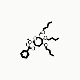 CCCCOC[C@H]1O[C@@H](OC)[C@H](OC(=O)c2ccccc2)C[C@@H](OCCCC)[C@@H]1OCCCC